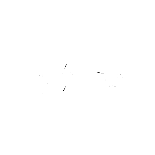 C[C@]12CC=C3[C@@H](CC[C@]45CC6(CC[C@@]34O5)OCCO6)[C@@H]1CC[C@]2(O)C#N